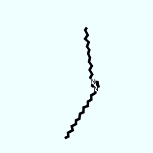 CCCCCCCCCCCCCCCCN1C=CN(CCCCCCCCCCCCCC)C1